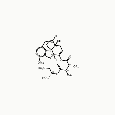 COc1ccc2c3c1O[C@H]1C(OC(=O)[C@H](OC(C)=O)[C@@H](OC(C)=O)C(=O)O[C@@H](CC(=O)O)C(=O)O)=CC[C@@]4(O)[C@H](CCC[C@]314)C2